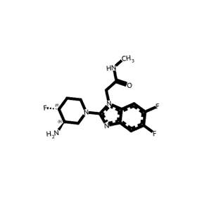 CNC(=O)Cn1c(N2CC[C@@H](F)[C@H](N)C2)nc2cc(F)c(F)cc21